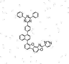 c1ccc(-c2nc(-c3ccccc3)nc(-c3ccc(-c4ccc(-c5cccc6c5oc5c6ccc6oc(-c7ccncn7)nc65)c5ccccc45)cc3)n2)cc1